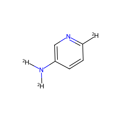 [2H]c1ccc(N([2H])[2H])cn1